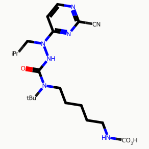 CC(C)CN(NC(=O)N(CCCCCNC(=O)O)C(C)(C)C)c1ccnc(C#N)n1